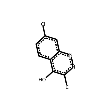 Oc1c(Cl)nnc2cc(Cl)ccc12